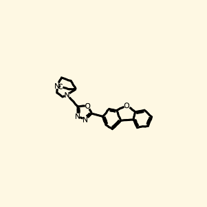 c1ccc2c(c1)oc1cc(-c3nnc(N4CCN5CCC4CC5)o3)ccc12